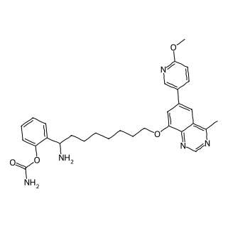 COc1ccc(-c2cc(OCCCCCCCC(N)c3ccccc3OC(N)=O)c3ncnc(C)c3c2)cn1